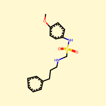 COc1ccc(NS(=O)(=O)CNCCCc2ccccc2)cc1